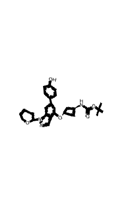 CC(C)(C)OC(=O)N[C@H]1C[C@H](Oc2cc(-c3ccc(O)cc3)cc3c2cnn3C2CCCCO2)C1